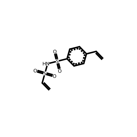 C=Cc1ccc(S(=O)(=O)NS(=O)(=O)C=C)cc1